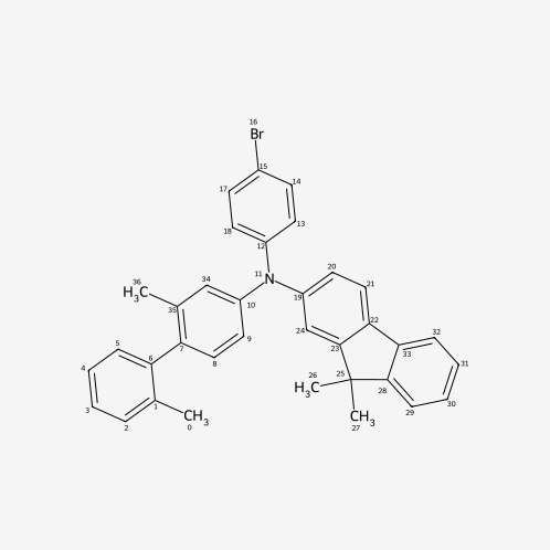 Cc1ccccc1-c1ccc(N(c2ccc(Br)cc2)c2ccc3c(c2)C(C)(C)c2ccccc2-3)cc1C